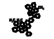 Cc1ccc(C)c(C2(C3=CCC(C)C=C3)c3ccccc3-c3ccc(N(c4ccccc4)c4ccc(-c5ccc(N(c6ccccc6)c6ccc7c(c6)C(c6ccccc6)(c6cc(C)ccc6C)c6ccccc6-7)cc5F)c(F)c4)cc32)c1